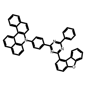 c1ccc(-c2nc(-c3ccc(N4c5ccc6ccccc6c5-c5cccc6cccc4c56)cc3)nc(-c3cccc4oc5ccccc5c34)n2)cc1